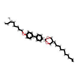 C=CCCCCCCCC[C@H]1CO[C@H](c2ccc(-c3ccc(OCCCCC[C@@H](C)CC)cc3)cc2)OC1